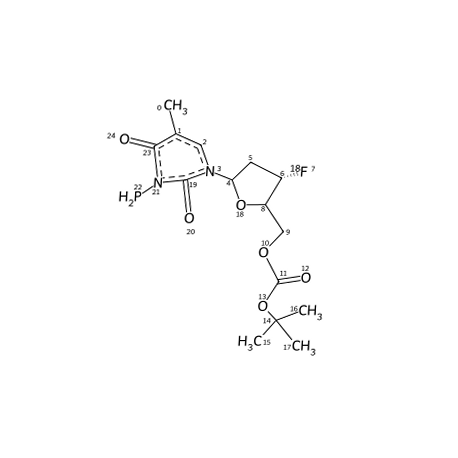 Cc1cn(C2C[C@H]([18F])C(COC(=O)OC(C)(C)C)O2)c(=O)n(P)c1=O